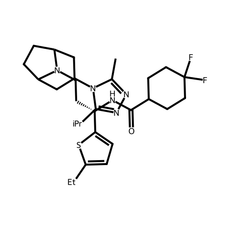 CCc1ccc([C@H](CCN2C3CCC2CC(n2c(C)nnc2C(C)C)C3)NC(=O)C2CCC(F)(F)CC2)s1